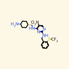 N[C@H]1CC[C@H](CNc2nc(NCc3ccccc3SC(F)(F)F)ncc2[N+](=O)[O-])CC1